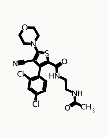 CC(=O)NCCNC(=O)c1sc(N2CCOCC2)c(C#N)c1-c1ccc(Cl)cc1Cl